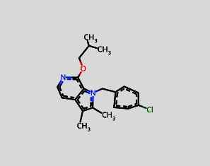 Cc1c(C)n(Cc2ccc(Cl)cc2)c2c(OCC(C)C)nccc12